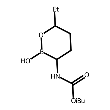 CCC1CCC(NC(=O)OCC(C)C)B(O)O1